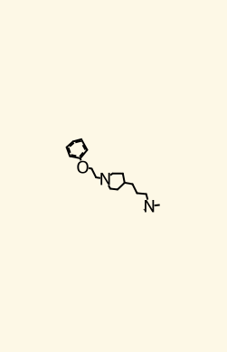 CN(C)CCCC1CCN(CCOc2ccccc2)CC1